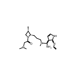 C=C/N=C1/NC=C/C1=C(/N)N(C)CCC[C@@H]1[C@H](C)CN1C(=O)CN(C)C